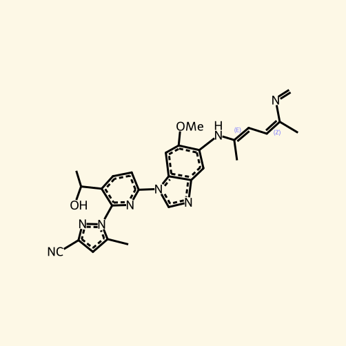 C=N/C(C)=C\C=C(/C)Nc1cc2ncn(-c3ccc(C(C)O)c(-n4nc(C#N)cc4C)n3)c2cc1OC